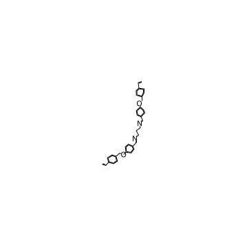 C=Cc1ccc(COc2ccc(/C=N/CCC/N=C/c3ccc(OCc4ccc(C=C)cc4)cc3)cc2)cc1